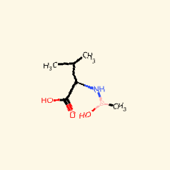 CB(O)N[C@@H](C(=O)O)C(C)C